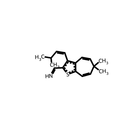 CC(C)/C=C\c1c(C=N)sc2c1C=CC(C)(C)C=C2